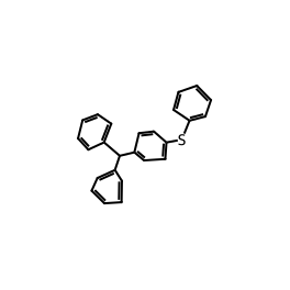 c1ccc(Sc2ccc(C(c3ccccc3)c3ccccc3)cc2)cc1